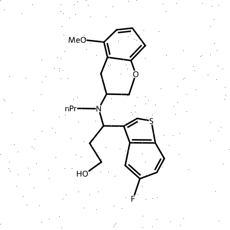 CCCN(C1COc2cccc(OC)c2C1)C(CCO)c1csc2ccc(F)cc12